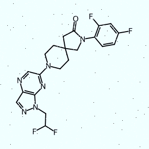 O=C1CC2(CCN(c3cnc4cnn(CC(F)F)c4n3)CC2)CN1c1ccc(F)cc1F